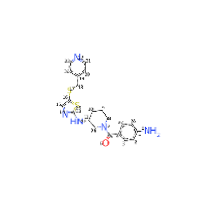 Nc1ccc(C(=O)N2CCC[C@@H](Nc3ncc(SCc4ccncc4)s3)C2)cc1